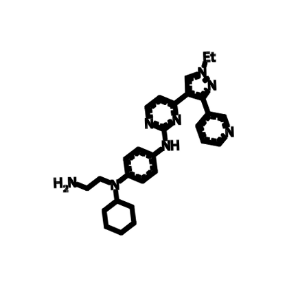 CCn1cc(-c2ccnc(Nc3ccc(N(CCN)C4CCCCC4)cc3)n2)c(-c2cccnc2)n1